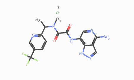 CC(c1ccc(C(F)(F)F)cn1)N(C)C(=O)C(=O)Nc1cnc(N)c2cn[nH]c12.[Cl-].[H+]